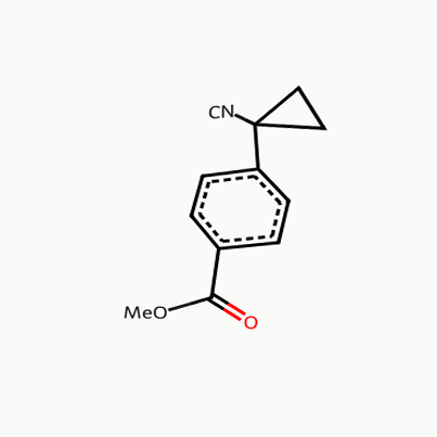 [C-]#[N+]C1(c2ccc(C(=O)OC)cc2)CC1